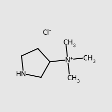 C[N+](C)(C)C1CCNC1.[Cl-]